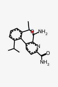 CC(C)c1cccc(C(C)C)c1-c1ccc(C(N)=O)nc1C(N)=O